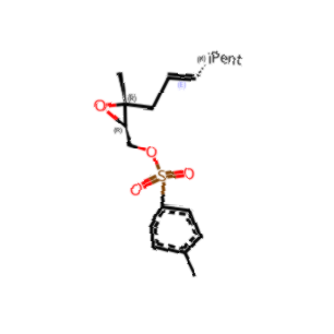 CCC[C@@H](C)/C=C/C[C@@]1(C)O[C@@H]1COS(=O)(=O)c1ccc(C)cc1